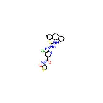 O=C(N[C@H]1CCSC1=O)c1cnc(NNC(=S)NC2c3ccccc3CCc3ccccc32)c(Cl)c1